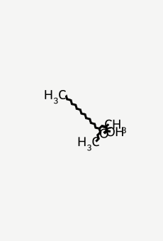 CCCCCCCCCCCCCCCC(C=C(C)C(=O)O)CCCC